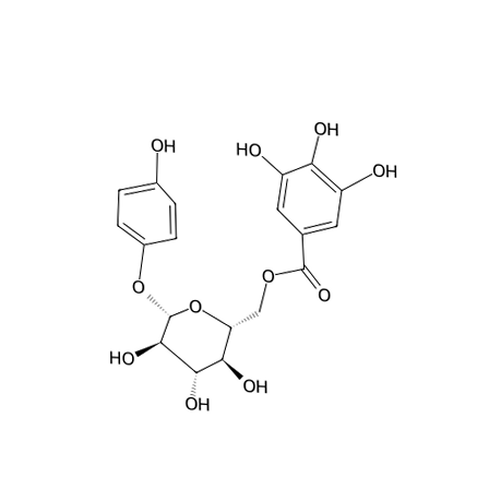 O=C(OC[C@H]1O[C@@H](Oc2ccc(O)cc2)[C@H](O)[C@@H](O)[C@@H]1O)c1cc(O)c(O)c(O)c1